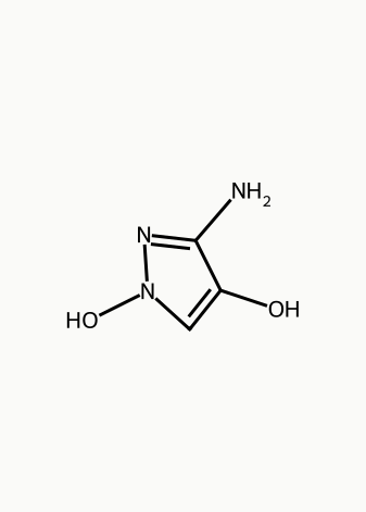 Nc1nn(O)cc1O